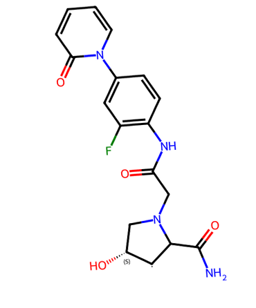 NC(=O)C1[CH][C@H](O)CN1CC(=O)Nc1ccc(-n2ccccc2=O)cc1F